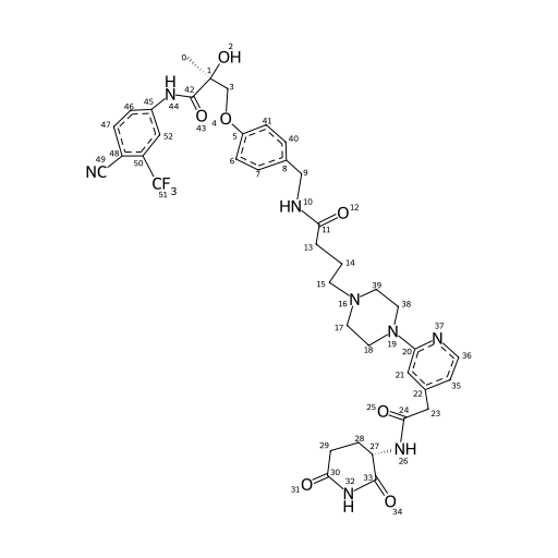 C[C@](O)(COc1ccc(CNC(=O)CCCN2CCN(c3cc(CC(=O)N[C@H]4CCC(=O)NC4=O)ccn3)CC2)cc1)C(=O)Nc1ccc(C#N)c(C(F)(F)F)c1